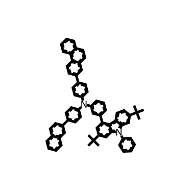 CC(C)(C)c1ccc2c3c(-c4cccc(N(c5ccc(-c6ccc7ccccc7c6)cc5)c5ccc(-c6ccc7c(ccc8ccccc87)c6)cc5)c4)cc(C(C)(C)C)cc3n(-c3ccccc3)c2c1